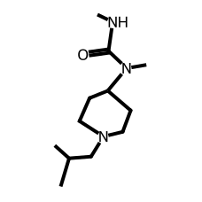 CNC(=O)N(C)C1CCN(CC(C)C)CC1